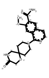 COc1cc2c(N3CCC4(CC3)CNC(=O)CO4)nccc2cc1C(N)=O